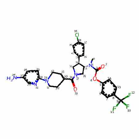 CN(C(=O)Oc1ccc(C(F)(F)F)cc1)[C@@H]1CN(C(=O)C2CCN(c3ccc(N)cn3)CC2)C[C@H]1c1ccc(Cl)cc1